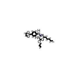 C=CCOC(=O)N/C(=N\CCCCCC)Nc1ccc(C2OCCO2)cc1